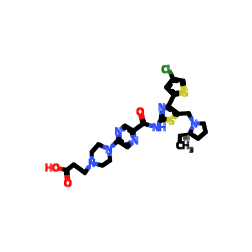 CC[C@@H]1CCCN1Cc1sc(NC(=O)c2cnc(N3CCN(CCC(=O)O)CC3)cn2)nc1-c1cc(Cl)cs1